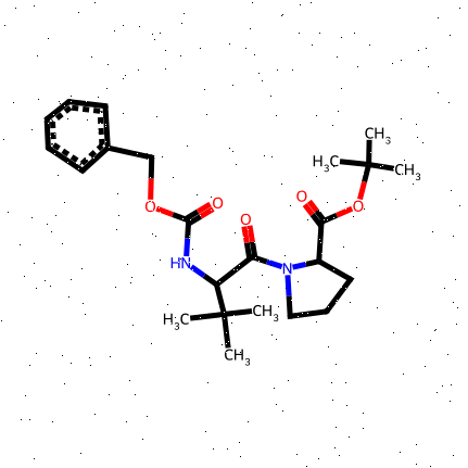 CC(C)(C)OC(=O)C1CCCN1C(=O)C(NC(=O)OCc1ccccc1)C(C)(C)C